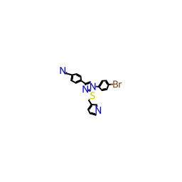 N#Cc1ccc(-c2cn(-c3ccc(Br)cc3)c(SCc3cccnc3)n2)cc1